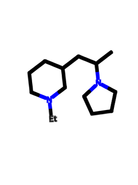 CCN1CCCC(CC(C)N2CCCC2)C1